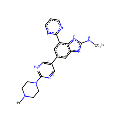 C=C(/N=C\C(=C/N)c1cc(-c2ncccn2)c2[nH]c(NC(=O)OCC)nc2c1)N1CCN(C(C)C)CC1